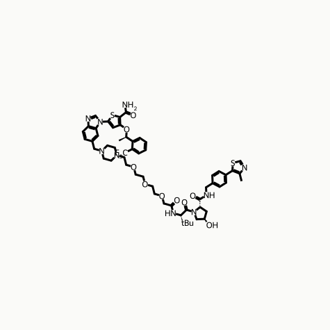 Cc1ncsc1-c1ccc(CNC(=O)[C@@H]2C[C@@H](O)CN2C(=O)[C@@H](NC(=O)COCCOCCOCCN2CCN(Cc3ccc4ncn(-c5cc(O[C@H](C)c6ccccc6C(F)(F)F)c(C(N)=O)s5)c4c3)CC2)C(C)(C)C)cc1